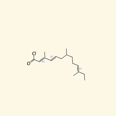 CC/C(C)=C/CCC(C)C/C=C/C(C)=C/C(=O)Cl